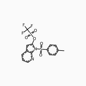 Cc1ccc(S(=O)(=O)n2c(OS(=O)(=O)C(F)(F)F)cc3cccnc32)cc1